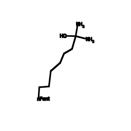 CCCCCCCCCCCC(N)(N)O